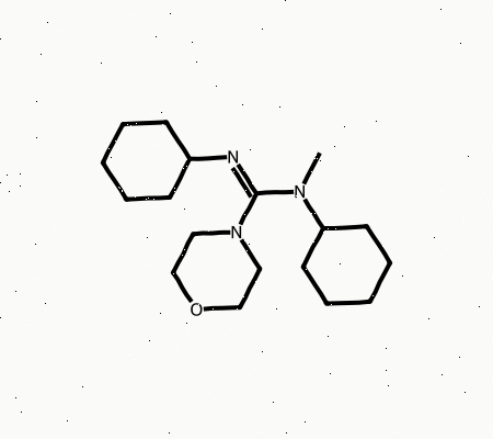 CN(/C(=N/C1CCCCC1)N1CCOCC1)C1CCCCC1